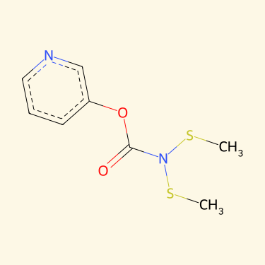 CSN(SC)C(=O)Oc1cccnc1